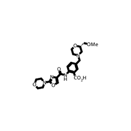 COC[C@@H]1CN(Cc2ccc(NC(=O)c3coc(N4CCOCC4)n3)c(C(=O)O)c2)CCO1